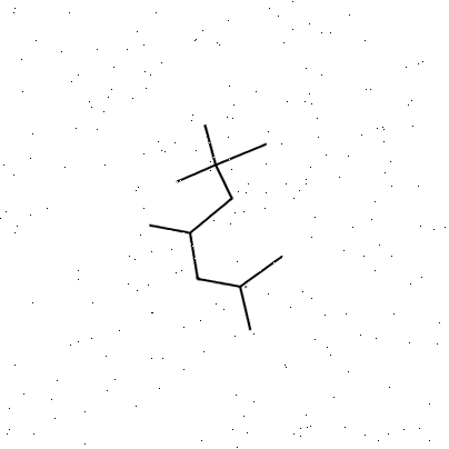 C[C](C)CC(C)CC(C)(C)C